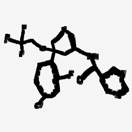 O=C(NC1=CN=CC(OCC(F)(F)F)(c2ccc(Cl)cc2F)C1)c1cncnc1